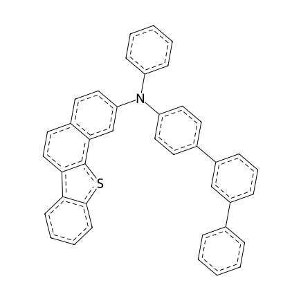 c1ccc(-c2cccc(-c3ccc(N(c4ccccc4)c4ccc5ccc6c7ccccc7sc6c5c4)cc3)c2)cc1